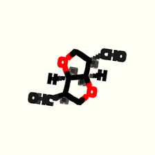 O=C[C@@H]1CO[C@H]2[C@@H]1OC[C@@H]2C=O